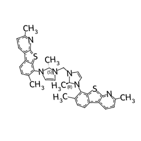 Cc1ccc2c(n1)sc1c(N3C=CN(CN4C=CN(c5c(C)ccc6c5sc5nc(C)ccc56)[C@H]4C)[C@H]3C)c(C)ccc12